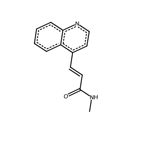 CNC(=O)/C=C/c1ccnc2ccccc12